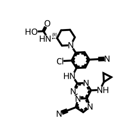 N#Cc1cc(Nc2nc(NC3CC3)c3ncc(C#N)n3n2)c(Cl)c(N2CCC[C@@H](NC(=O)O)C2)c1